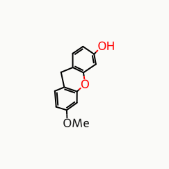 COc1ccc2c(c1)Oc1cc(O)ccc1C2